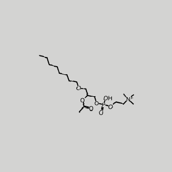 CCCCCCCCOCC(COP(=O)(O)OCC[N+](C)(C)C)OC(C)=O